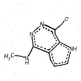 CNc1nnc(Cl)c2[nH]ccc12